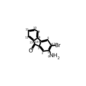 Nc1cc2c(cc1Br)-c1ccccc1C2=O